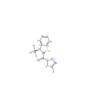 CC1=NOC(C(=O)N2Sc3ccccc3[C@@H]2C(C)(C)C)C1